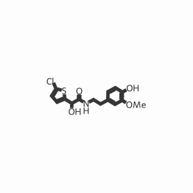 COc1cc(CCNC(=O)C(O)c2ccc(Cl)s2)ccc1O